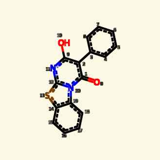 O=c1c(-c2ccccc2)c(O)nc2sc3ccccc3n12